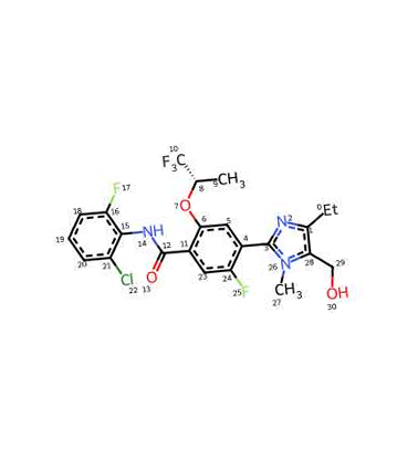 CCc1nc(-c2cc(O[C@@H](C)C(F)(F)F)c(C(=O)Nc3c(F)cccc3Cl)cc2F)n(C)c1CO